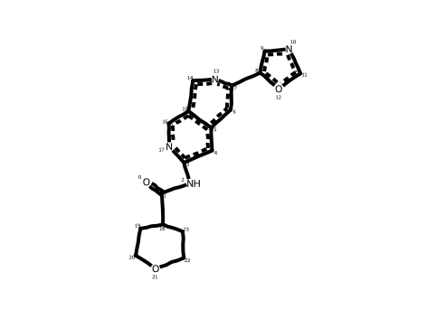 O=C(Nc1cc2cc(-c3cnco3)ncc2cn1)C1CCOCC1